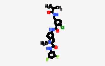 CC(C)C(=O)NCc1ccc(Cl)c(C(=O)Nc2ccc3c(c2)cc(C(=O)Nc2cc(F)cc(F)c2)n3C)c1